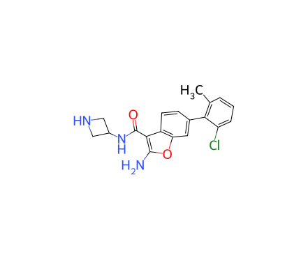 Cc1cccc(Cl)c1-c1ccc2c(C(=O)NC3CNC3)c(N)oc2c1